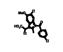 CCC(C(=O)O)c1c(C)n(C(=O)c2ccc(Cl)cc2)c2cc(Cl)c(OC)cc12